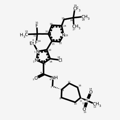 CCn1nc(C(=O)NC[C@H]2CC[C@H](S(C)(=O)=O)CC2)c(Cl)c1-c1cnc(CC(C)(C)C(F)(F)F)cc1C(C)(F)F